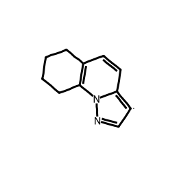 [c]1cnn2c3c(ccc12)CCCC3